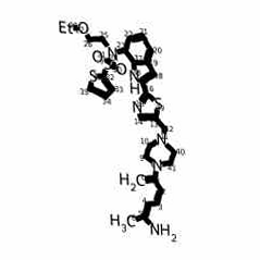 C=C(/C=C\C=C(\C)N)N1CCN(Cc2cnc(C3=CC4=CC=CC(N(CCOCC)S(=O)(=O)c5cccs5)C4N3)s2)CC1